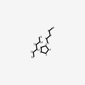 C1CCCC1.CCCCC.CCCCCC